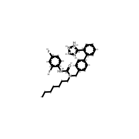 CCCCCCCN(Cc1ccc(-c2ccccc2-c2nnn[nH]2)cc1)C(=O)Nc1ccc(F)cc1F